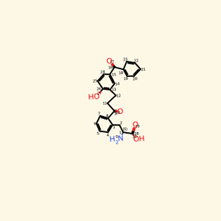 N[C@@H](Cc1ccccc1C(=O)CCc1cc(C(=O)c2ccccc2)ccc1O)C(=O)O